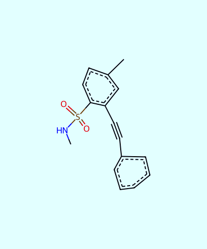 CNS(=O)(=O)c1ccc(C)cc1C#Cc1ccccc1